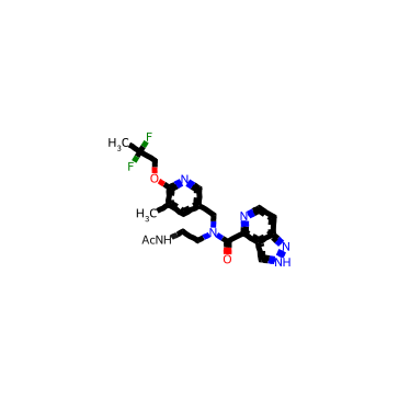 CC(=O)NCCN(Cc1cnc(OCC(C)(F)F)c(C)c1)C(=O)c1nccc2n[nH]cc12